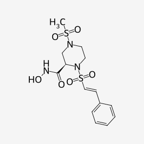 CS(=O)(=O)N1CCN(S(=O)(=O)/C=C/c2ccccc2)[C@@H](C(=O)NO)C1